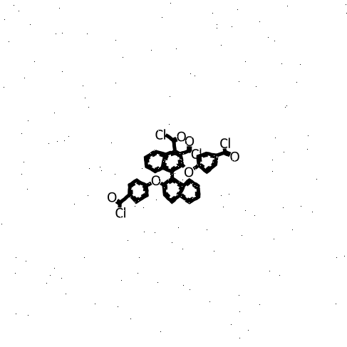 O=C(Cl)c1ccc(Oc2ccc3ccccc3c2-c2c(Oc3ccc(C(=O)Cl)cc3)c(C(=O)Cl)c(C(=O)Cl)c3ccccc23)cc1